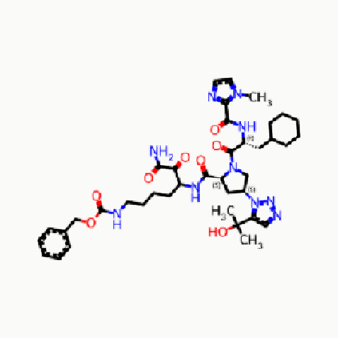 Cn1ccnc1C(=O)N[C@H](CC1CCCCC1)C(=O)N1C[C@@H](n2nncc2C(C)(C)O)C[C@H]1C(=O)NC(CCCCNC(=O)OCc1ccccc1)C(=O)C(N)=O